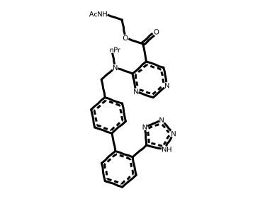 CCCN(Cc1ccc(-c2ccccc2-c2nnn[nH]2)cc1)c1ncncc1C(=O)OCNC(C)=O